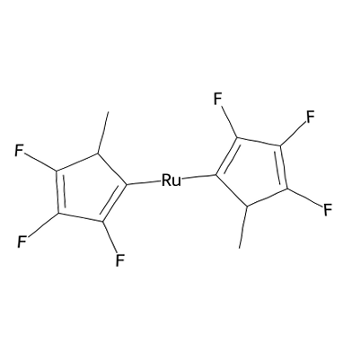 CC1C(F)=C(F)C(F)=[C]1[Ru][C]1=C(F)C(F)=C(F)C1C